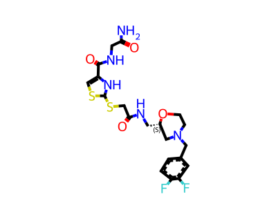 NC(=O)CNC(=O)C1=CSC(SCC(=O)NC[C@H]2CN(Cc3ccc(F)c(F)c3)CCO2)N1